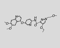 CCOc1cn(CCOC)nc1C(=O)Nc1ccc(Oc2ccnc3cc(OC)c(OC)cc23)cn1